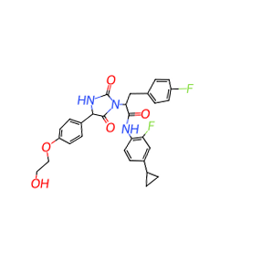 O=C(Nc1ccc(C2CC2)cc1F)C(Cc1ccc(F)cc1)N1C(=O)NC(c2ccc(OCCO)cc2)C1=O